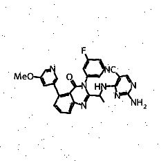 COc1cncc(-c2cccc3nc(C(C)Nc4nc(N)ncc4C#N)n(-c4cccc(F)c4)c(=O)c23)c1